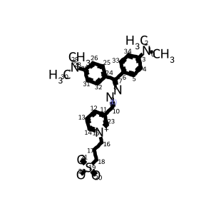 CN(C)c1ccc(C(=N/N=C/c2ccc[n+](CCCS(=O)(=O)[O-])c2)c2ccc(N(C)C)cc2)cc1